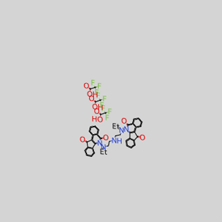 CCN(CCNCCN(CC)n1c2c(c3ccccc3c1=O)C(=O)c1ccccc1-2)n1c2c(c3ccccc3c1=O)C(=O)c1ccccc1-2.O=C(O)C(F)(F)F.O=C(O)C(F)(F)F.O=C(O)C(F)(F)F